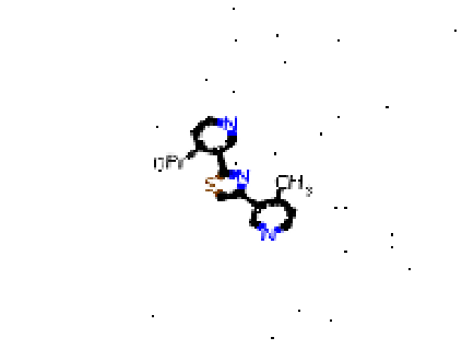 CCCc1ccncc1-c1nc(-c2cnccc2C)cs1